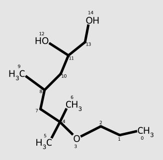 CCCOC(C)(C)CC(C)CC(O)CO